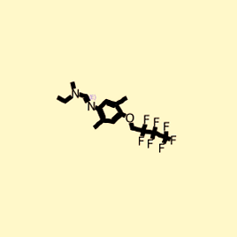 CCN(C)/C=N/c1cc(C)c(OCC(F)(F)C(F)(F)C(F)(F)F)cc1C